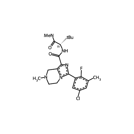 CNC(=O)[C@@H](NC(=O)c1nc(-c2cc(Cl)cc(C)c2F)n2c1CN(C)CC2)C(C)(C)C